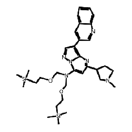 CN1CCC(c2cc(N(COCC[Si](C)(C)C)COCC[Si](C)(C)C)n3ncc(-c4cnc5ccccc5c4)c3n2)C1